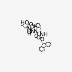 CC(C)C[C@H](NC(=O)NNC(=O)C(Cc1ccccc1)NC(=O)OCC1c2ccccc2-c2ccccc21)C(=O)O